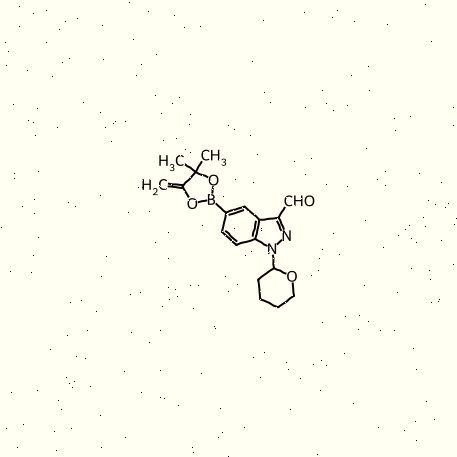 C=C1OB(c2ccc3c(c2)c(C=O)nn3C2CCCCO2)OC1(C)C